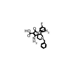 CCC1CN(Cc2ccccc2)CCC12C(N)=C(C(=O)O)C(=O)N2c1cccc(F)c1